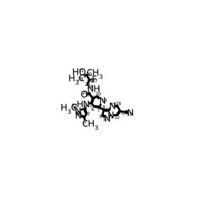 Cc1cc(Nc2cc(-c3cnn4cc(C#N)cnc34)ncc2C(=O)NC[C@@H](F)C(C)(C)O)n(C)n1